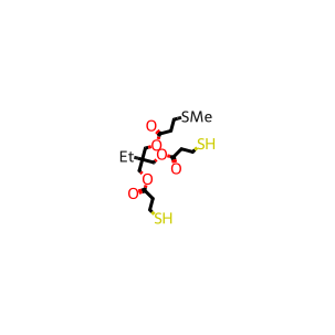 CCC(COC(=O)CCS)(COC(=O)CCS)COC(=O)CCSC